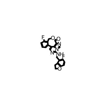 O=C1OCc2c(F)cccc2-c2cnc(NCc3c(F)ccc4c3CCO4)n3cnc1c23